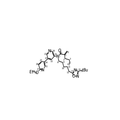 C=C(CCF)C(=O)N(CCCCCc1nc(C(C)(C)C)no1)c1cncc(-c2ccc(OCC)nc2)c1